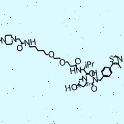 Cc1ncsc1-c1ccc(CNC(=O)[C@@H]2C[C@@H](O)CN2C(=O)C(NC(=O)CCOCCOCCCCCNC(=O)CN2CCN(C)CC2)C(C)C)cc1